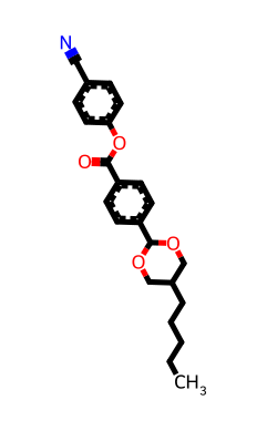 CCCCCC1COC(c2ccc(C(=O)Oc3ccc(C#N)cc3)cc2)OC1